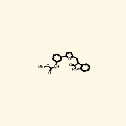 CC(C)(C)OC(=O)Nc1cccc(-c2ccc(C=C3C(=O)Nc4ccccc43)o2)c1